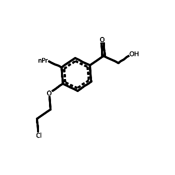 CCCc1cc(C(=O)CO)ccc1OCCCl